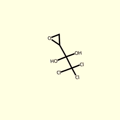 OC(O)(C1CO1)C(Cl)(Cl)Cl